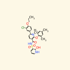 CCCOc1ccc(-c2ccc(C(=O)NS(=O)(=O)C3=CC=CNC3O)c(Oc3c(C)cc(C)cc3C)n2)cc1Cl